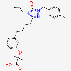 CCCn1c(CCCCc2cccc(OC(C)(C)C(=O)O)c2)nn(Cc2ccc(C)cc2)c1=O